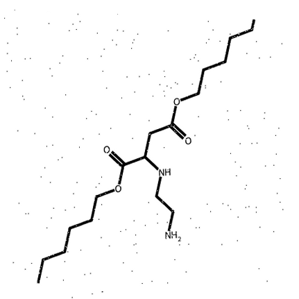 CCCCCCOC(=O)CC(NCCN)C(=O)OCCCCCC